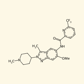 COc1cc2nn(C3CCN(C)CC3)c(C)c2cc1NC(=O)c1cccc(C(F)(F)F)n1